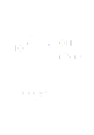 CCCCCC(O)/C=C/[C@H]1C=C[C@@H](O)[C@H]1CCCCCCC(=O)OCC